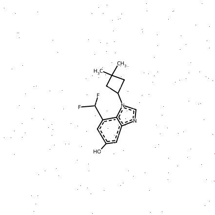 CC1(C)CC(n2cnc3cc(O)cc(C(F)F)c32)C1